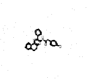 O=C(Cc1ccc(Cl)cc1)Nc1nc2c(nc1-c1ccccc1)-c1ccccc1CC2